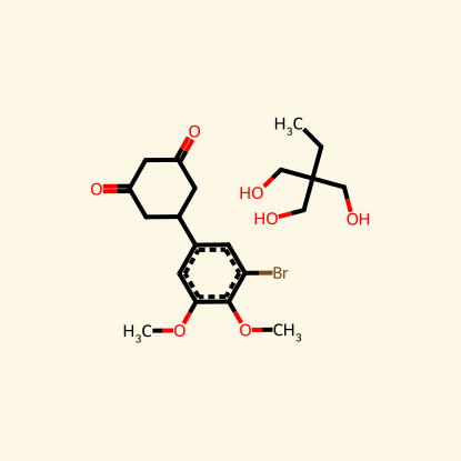 CCC(CO)(CO)CO.COc1cc(C2CC(=O)CC(=O)C2)cc(Br)c1OC